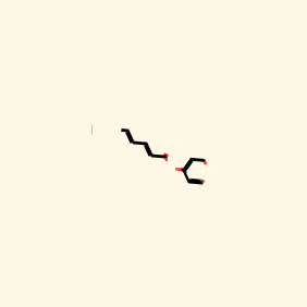 C/C=C/C=C/C(=O)OC1=CCOC=C1